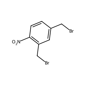 O=[N+]([O-])c1ccc(CBr)cc1CBr